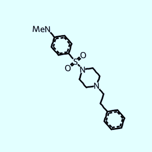 CNc1ccc(S(=O)(=O)N2CCN(CCc3ccccc3)CC2)cc1